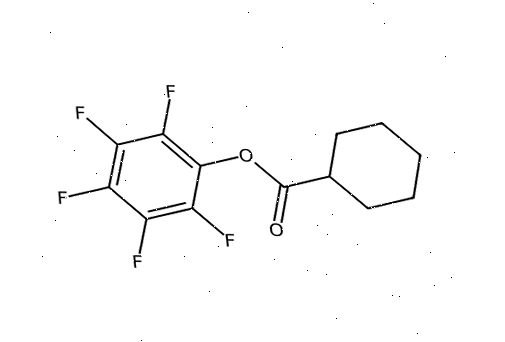 O=C(Oc1c(F)c(F)c(F)c(F)c1F)C1CCCCC1